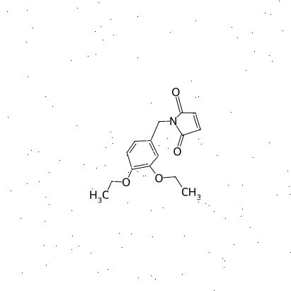 CCOc1ccc(CN2C(=O)C=CC2=O)cc1OCC